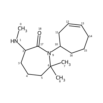 CNC1CCCC(C)(C)N(C2CC=CCCC2)C1=O